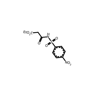 CCOC(=O)CC(=O)NS(=O)(=O)c1ccc([N+](=O)[O-])cc1